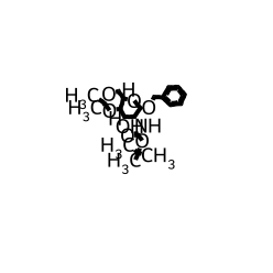 CC(C)(C)OC(=O)N[C@H]1[C@@H](OCc2ccccc2)O[C@@H]2COC(C)(C)O[C@H]2[C@@H]1O